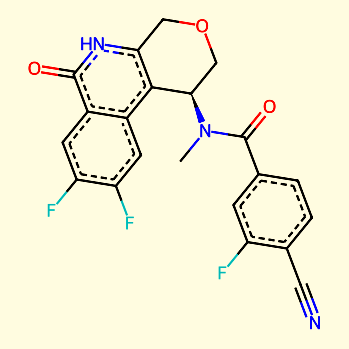 CN(C(=O)c1ccc(C#N)c(F)c1)[C@@H]1COCc2[nH]c(=O)c3cc(F)c(F)cc3c21